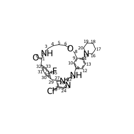 O=C1NCCCCOCc2cc(ccc2N2CCCCC2)Nc2ncc(Cl)c(n2)-c2ccc1cc2F